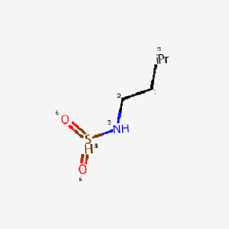 CC(C)CCN[SH](=O)=O